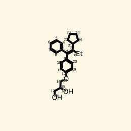 CC/C(=C(/c1ccccc1)c1ccc(OCC(O)CO)cc1)C1CCCC1